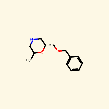 CC1CNC[C@H](COCc2ccccc2)O1